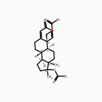 CCC(=O)OC[C@]12C=CC(=O)C=C1CC[C@H]1[C@@H]3CC[C@@](C)(OC(=O)CC)[C@@]3(C)CC[C@@H]12